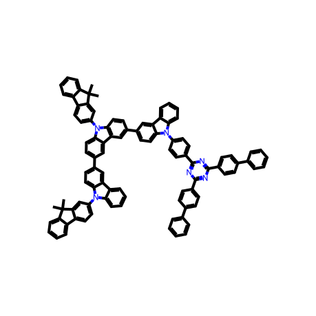 CC1(C)c2ccccc2-c2ccc(-n3c4ccccc4c4cc(-c5ccc6c(c5)c5cc(-c7ccc8c(c7)c7ccccc7n8-c7ccc(-c8nc(-c9ccc(-c%10ccccc%10)cc9)nc(-c9ccc(-c%10ccccc%10)cc9)n8)cc7)ccc5n6-c5ccc6c(c5)C(C)(C)c5ccccc5-6)ccc43)cc21